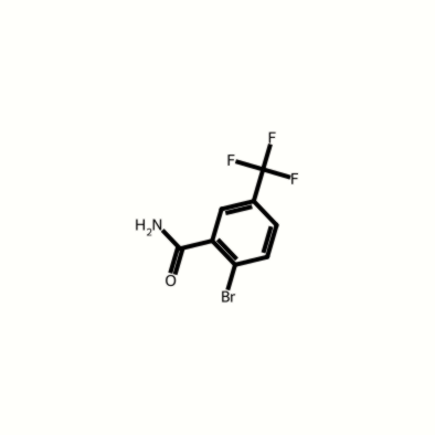 NC(=O)c1cc(C(F)(F)F)ccc1Br